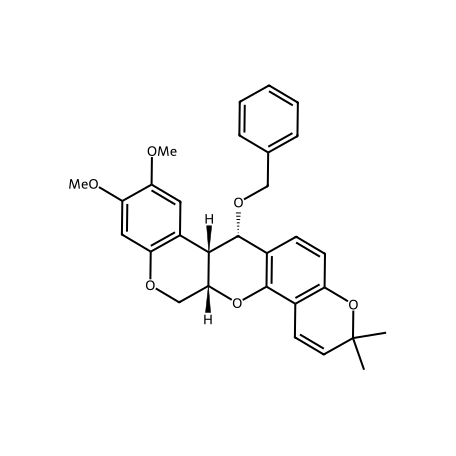 COc1cc2c(cc1OC)[C@@H]1[C@H](OCc3ccccc3)c3ccc4c(c3O[C@@H]1CO2)C=CC(C)(C)O4